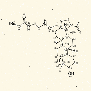 C=C(C)[C@@H]1CC[C@]2(CONCCNC(=O)OC(C)(C)C)CC[C@]3(C)[C@H](CC[C@@H]4[C@@]5(C)CC[C@H](O)C(C)(C)[C@@H]5CC[C@]43C)[C@@H]12